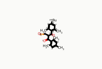 Cc1cc(C)c(C(=O)C(CP=O)C(=O)c2c(C)cc(C(C)(C)C)cc2C)c(C)c1